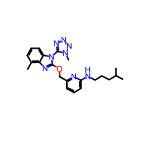 Cc1cccc2c1nc(OCc1cccc(NCCCC(C)C)n1)n2-c1nnnn1C